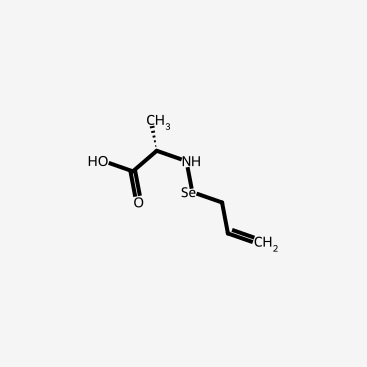 C=CC[Se]N[C@@H](C)C(=O)O